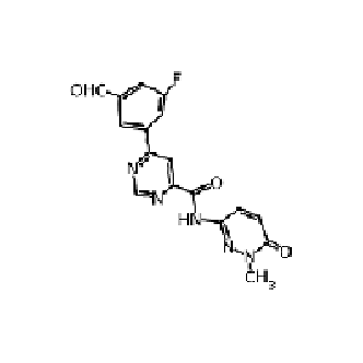 Cn1nc(NC(=O)c2cc(-c3cc(F)cc(C=O)c3)ncn2)ccc1=O